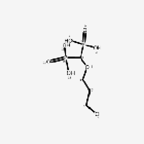 O=P(O)(O)C(OCCCCl)P(=O)(O)O